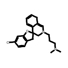 CN(C)CCCN1C=C2CC=CC=C2C2(Cc3ccc(Cl)cc3O2)C1